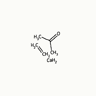 C=C.CC(C)=O.[CaH2]